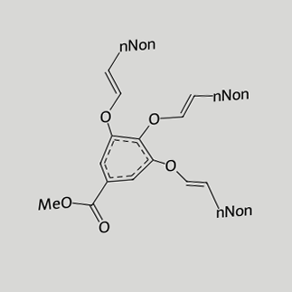 CCCCCCCCCC=COc1cc(C(=O)OC)cc(OC=CCCCCCCCCC)c1OC=CCCCCCCCCC